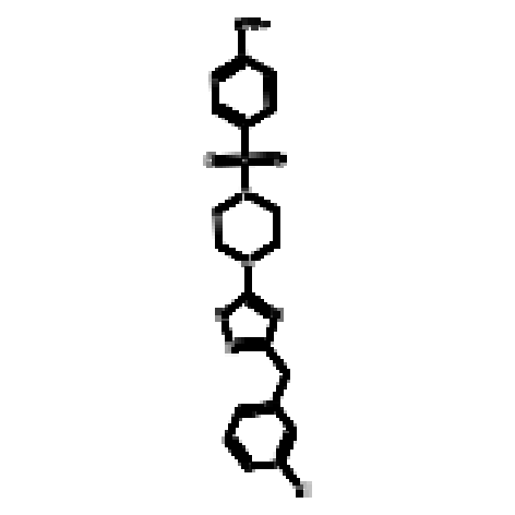 COc1ccc(S(=O)(=O)N2CCN(c3nc(Cc4cccc(Cl)c4)no3)CC2)cc1